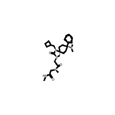 CNC(=O)CN(C)C(=O)CN1C[C@]2(CC[C@](c3ccccc3)(N(C)C)CC2)N(CC2CCC2)C1=O